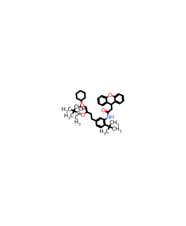 CC(C)(C)c1ccc(CCC(COC2CCCCC2)O[Si](C)(C)C(C)(C)C)cc1NC(=O)CC1c2ccccc2Oc2ccccc21